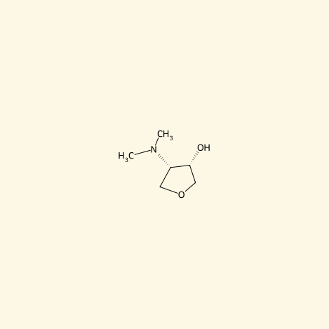 CN(C)[C@H]1COC[C@H]1O